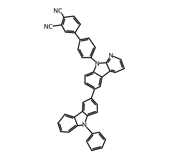 N#Cc1ccc(-c2ccc(-n3c4ccc(-c5ccc6c(c5)c5ccccc5n6-c5ccccc5)cc4c4cccnc43)cc2)cc1C#N